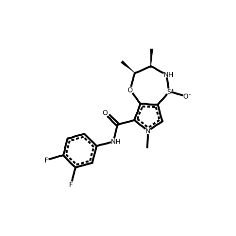 C[C@@H]1Oc2c(cn(C)c2C(=O)Nc2ccc(F)c(F)c2)[S+]([O-])N[C@@H]1C